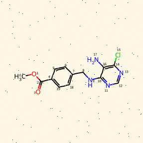 COC(=O)c1ccc(CNc2ncnc(Cl)c2N)cc1